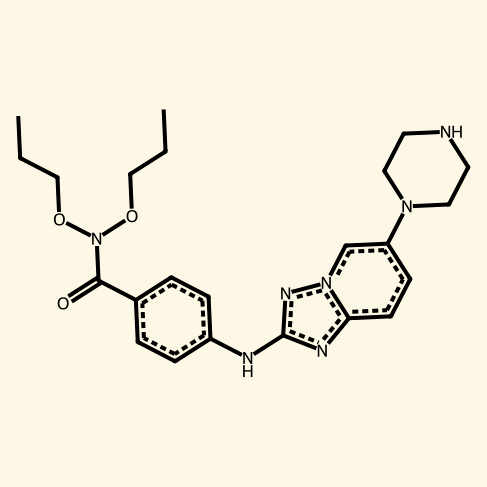 CCCON(OCCC)C(=O)c1ccc(Nc2nc3ccc(N4CCNCC4)cn3n2)cc1